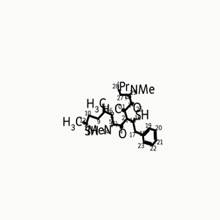 C=C([C](C(=O)[C@H](CC(C)CCC(C)S)NC)C(S)Cc1ccccc1)C(=O)[C@H](CC(C)C)NC